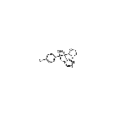 CC(C)(C1OCCO1)C(O)(Cn1cnnc1)c1ccc(Cl)cc1